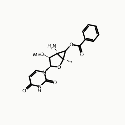 CO[C@H]1[C@H](n2ccc(=O)[nH]c2=O)O[C@]2(C)C(OC(=O)c3ccccc3)[C@]12N